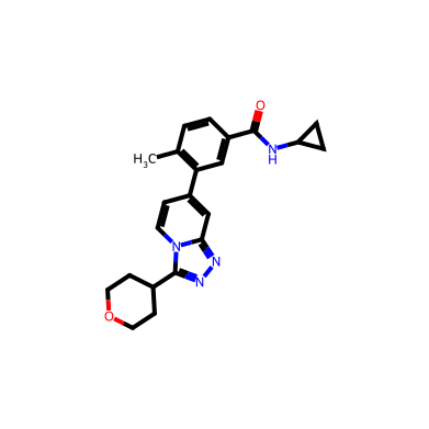 Cc1ccc(C(=O)NC2CC2)cc1-c1ccn2c(C3CCOCC3)nnc2c1